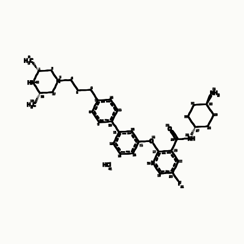 C[C@@H]1CN(CCCc2ccc(-c3cccc(Oc4ncc(F)cc4C(=O)N[C@H]4CC[C@H](N)CC4)c3)cc2)C[C@H](C)N1.Cl